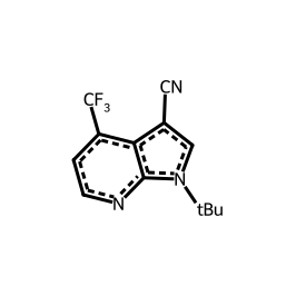 CC(C)(C)n1cc(C#N)c2c(C(F)(F)F)ccnc21